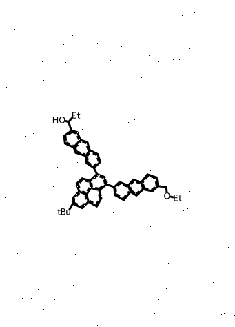 CCOCc1ccc2cc3cc(-c4cc(-c5ccc6cc7cc(C(O)CC)ccc7cc6c5)c5ccc6cc(C(C)(C)C)cc7ccc4c5c76)ccc3cc2c1